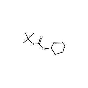 CC(C)(C)OC(=O)O[C@H]1C=CCCC1